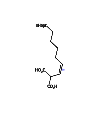 CCCCCCCCCCC/C=C\C(C(=O)O)C(=O)O